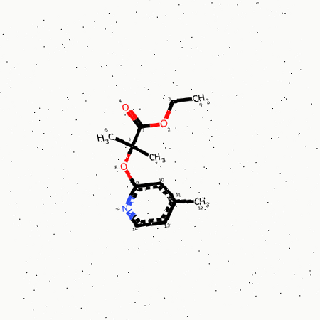 CCOC(=O)C(C)(C)Oc1cc(C)ccn1